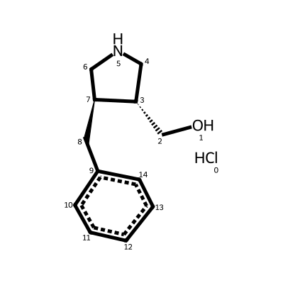 Cl.OC[C@H]1CNC[C@@H]1Cc1ccccc1